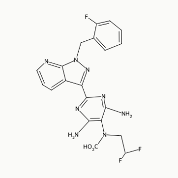 Nc1nc(-c2nn(Cc3ccccc3F)c3ncccc23)nc(N)c1N(CC(F)F)C(=O)O